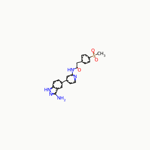 CS(=O)(=O)c1ccc(CC(=O)Nc2cc(-c3ccc4[nH]nc(N)c4c3)ccn2)cc1